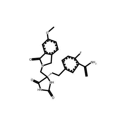 C=C(N)c1cc(CC[C@]2(CN3Cc4ccc(OC)cc4C3=O)NC(=O)NC2=O)ccc1F